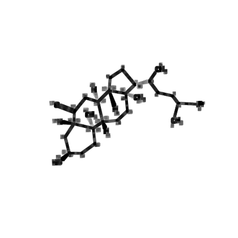 CC(C)C(C)CCC(C)[C@H]1CC[C@H]2[C@@H]3CC(=O)[C@H]4C[C@H](O)CC[C@]4(C)[C@H]3CC[C@]12C